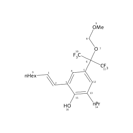 CCCCCCC=Cc1cc(C(OCOC)(C(F)(F)F)C(F)(F)F)cc(CCC)c1O